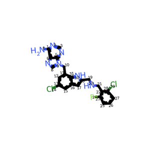 Nc1ncnc2c1ncn2Cc1cc(Cl)cc2cc(CNCc3c(F)cccc3Cl)[nH]c12